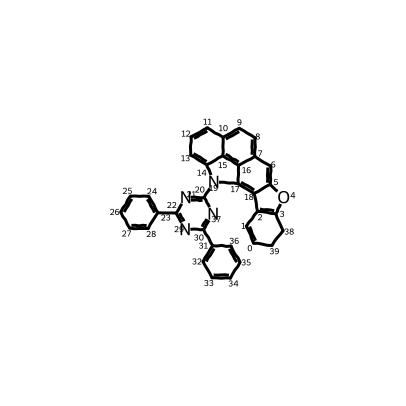 C1=Cc2c(oc3cc4ccc5cccc6c5c4c(c23)n6-c2nc(-c3ccccc3)nc(-c3ccccc3)n2)CC1